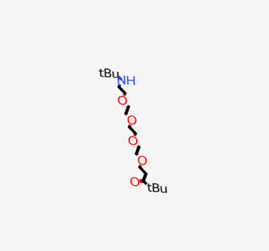 CC(C)(C)NCCOCCOCCOCCOCCC(=O)C(C)(C)C